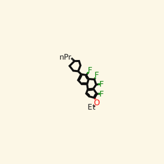 CCCC1CCC(c2ccc3c(c2F)C(F)C(F)c2c-3ccc(OCC)c2F)CC1